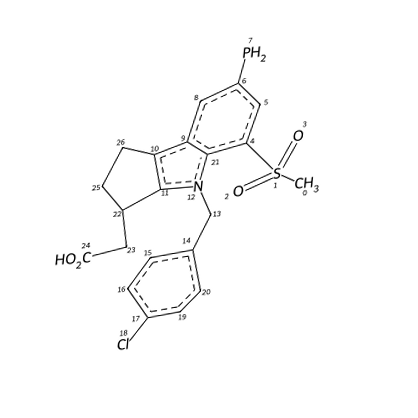 CS(=O)(=O)c1cc(P)cc2c3c(n(Cc4ccc(Cl)cc4)c12)C(CC(=O)O)CC3